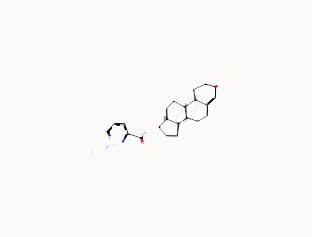 C[n+]1cccc(C(=O)O[C@H]2CC[C@H]3[C@@H]4CCC5=CC(=O)CC[C@]5(C)[C@H]4CC[C@]23C)c1.[I-]